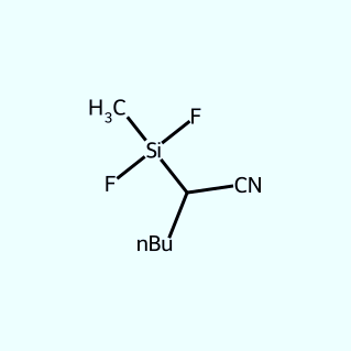 CCCCC(C#N)[Si](C)(F)F